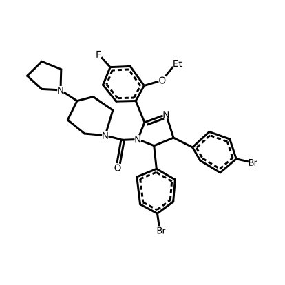 CCOc1cc(F)ccc1C1=NC(c2ccc(Br)cc2)C(c2ccc(Br)cc2)N1C(=O)N1CCC(N2CCCC2)CC1